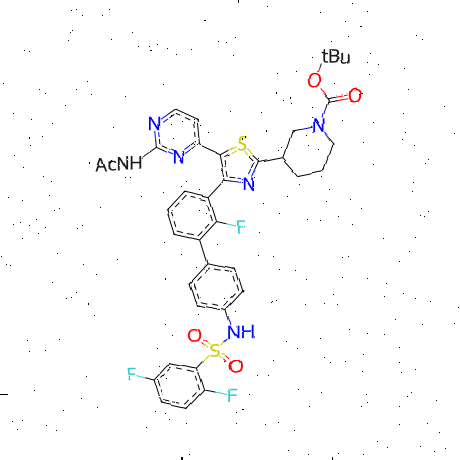 CC(=O)Nc1nccc(-c2sc(C3CCCN(C(=O)OC(C)(C)C)C3)nc2-c2cccc(-c3ccc(NS(=O)(=O)c4cc(F)ccc4F)cc3)c2F)n1